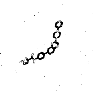 O=C(Nc1ccc(-c2ccc3ncc(N4CCN(c5ccncc5)CC4)nc3c2)cc1)c1cc[nH]n1